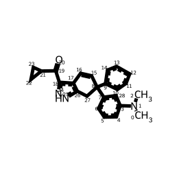 CN(C)c1cccc(C2(c3ccccc3)C=Cc3c(C(=O)C4CC4)n[nH]c3C2)c1